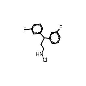 Fc1cccc(C(CCNCl)c2cccc(F)c2)c1